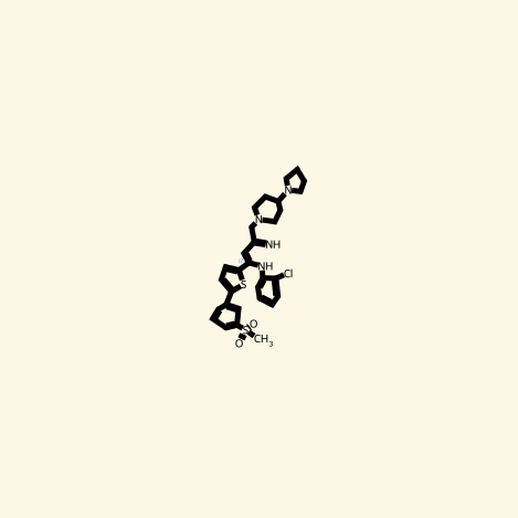 CS(=O)(=O)c1cccc(-c2ccc(/C(=C/C(=N)CN3CCC(N4CCCC4)CC3)Nc3ccccc3Cl)s2)c1